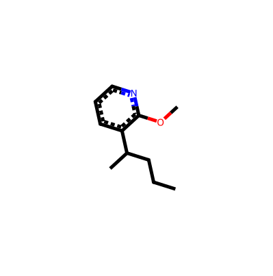 CCCC(C)c1cccnc1OC